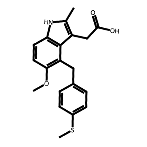 COc1ccc2[nH]c(C)c(CC(=O)O)c2c1Cc1ccc(SC)cc1